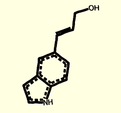 OCC=Cc1ccc2[nH]ccc2c1